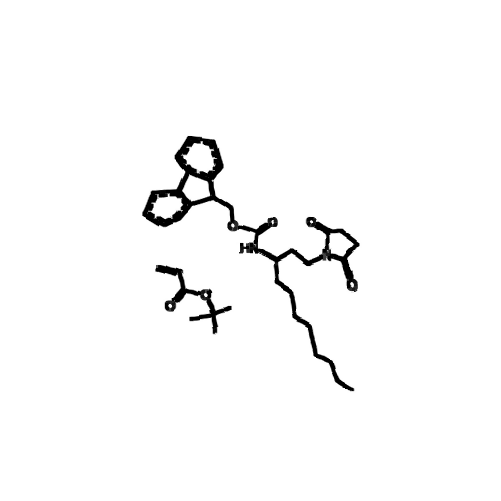 C=CC(=O)OC(C)(C)C.CCCCCCCCC(CCN1C(=O)CCC1=O)NC(=O)OCC1c2ccccc2-c2ccccc21